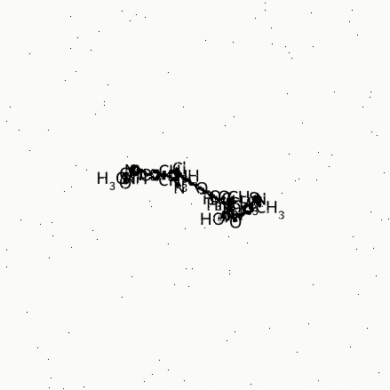 Cc1ncsc1-c1ccc(CNC(=O)[C@@H]2C[C@@H](O)CN2C(=O)[C@@H](NC(=O)COCCCOCCCCCNc2c(Cl)cc(C(C)(C)c3ccc(OCc4ccnc(NS(C)(=O)=O)n4)cc3)cc2C#N)C(C)(C)C)cc1